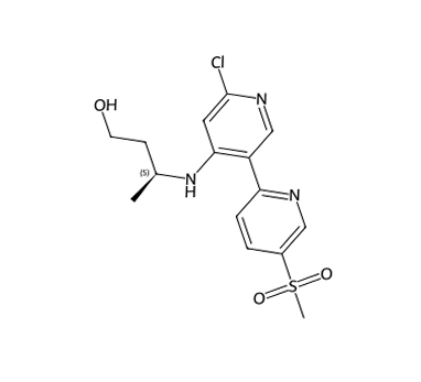 C[C@@H](CCO)Nc1cc(Cl)ncc1-c1ccc(S(C)(=O)=O)cn1